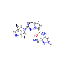 Cn1cc(NC(=O)c2ccc3cnc(N4C[C@H]5CN[C@H](C5)C4)nn23)c(C#N)n1